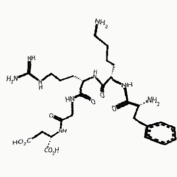 N=C(N)NCCC[C@H](NC(=O)[C@H](CCCCN)NC(=O)[C@H](N)Cc1ccccc1)C(=O)NCC(=O)N[C@@H](CC(=O)O)C(=O)O